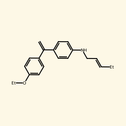 C=C(c1ccc(NCC=CCC)cc1)c1ccc(OCC)cc1